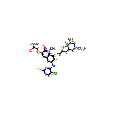 CNC(=O)COc1cc2cc(Nc3nc(Cl)ncc3Cl)cc(OCCCC3CN(C(=O)O)C[C@H](C)C3(F)F)c2n(C)c1=O